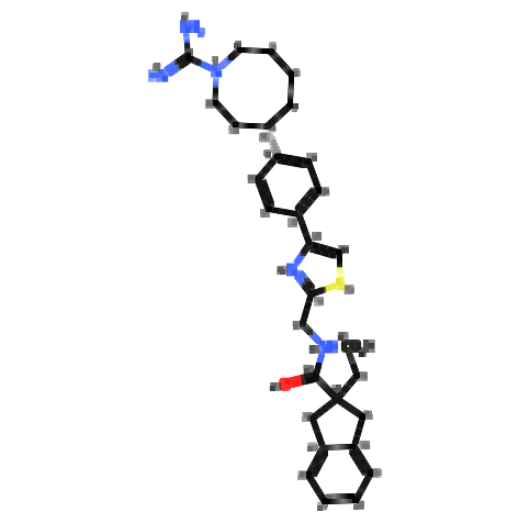 N=C(N)N1CCCC[C@H](c2ccc(-c3csc(CNC(=O)C4(CC(=O)O)Cc5ccccc5C4)n3)cc2)CC1